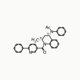 CC(=O)N(c1ccccc1)[C@H]1C[C@@H](C)N(C(=O)c2ccc(-c3ccccc3)nc2)c2ccccc21